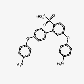 Nc1ccc(Oc2ccc(-c3cc(Oc4ccc(N)cc4)ccc3S(=O)(=O)S(=O)(=O)O)cc2)cc1